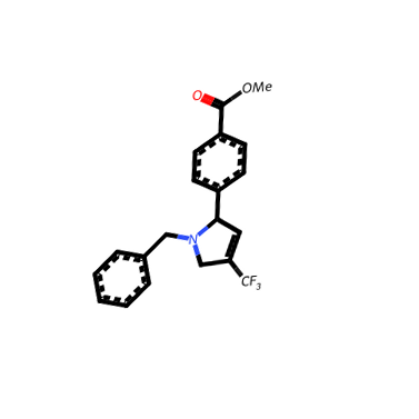 COC(=O)c1ccc(C2C=C(C(F)(F)F)CN2Cc2ccccc2)cc1